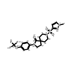 Cn1ccc(S(=O)(=O)N2CCC3(CCN(c4ccc(OC(F)(F)F)cc4)C3=O)CC2)n1